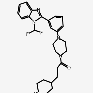 O=C(CCC1CCNCC1)N1CCN(c2cccc(-c3nc4ccccc4n3C(F)F)c2)CC1